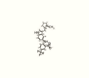 CN1CCC[C@@H]1Cc1c[nH]c2ccc(Nc3ccc(C(F)(F)F)cc3[N+](=O)[O-])cc12